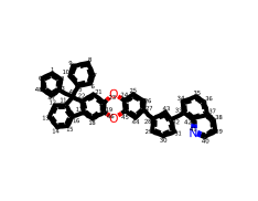 c1ccc(C2(c3ccccc3)c3ccccc3-c3cc4c(cc32)Oc2ccc(-c3cccc(-c5cccc6cccnc56)c3)cc2O4)cc1